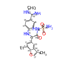 CCc1cc(C(Nc2ccc(C(=N)NC=O)cc2)C(=O)NS(N)(=O)=O)cc2c(C)coc12